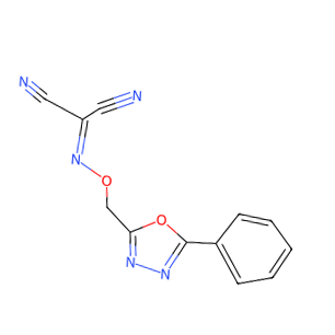 N#CC(C#N)=NOCc1nnc(-c2ccccc2)o1